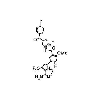 COc1cc(F)c(-c2cc(C(F)(F)F)c3c(N)ncnn23)cc1C(=O)N[C@@H]1CN(C(=O)c2ccc(F)cc2)C[C@@H]1F